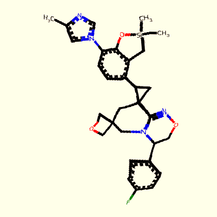 Cc1cn(-c2ccc(C3CC34CC3(COC3)CN3C4=NOCC3c3ccc(F)cc3)c3c2O[Si](C)(C)C3)cn1